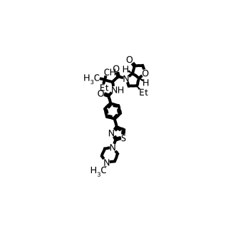 CC[C@H]1CN(C(=O)C(NC(=O)c2ccc(-c3csc(N4CCN(C)CC4)n3)cc2)C(C)(C)CC)[C@@H]2C(=O)CO[C@H]12